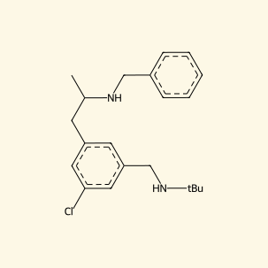 CC(Cc1cc(Cl)cc(CNC(C)(C)C)c1)NCc1ccccc1